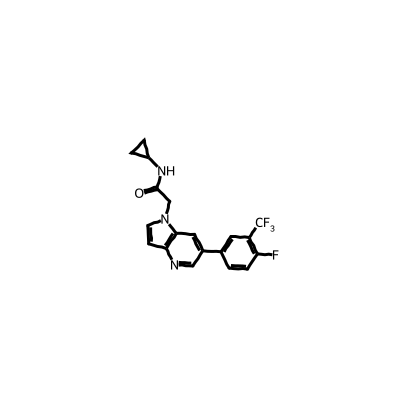 O=C(Cn1ccc2ncc(-c3ccc(F)c(C(F)(F)F)c3)cc21)NC1CC1